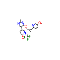 COc1ccc(C2CC2COc2nc(C)ncc2-c2ccc(=O)n(CC(F)(F)F)c2)nc1